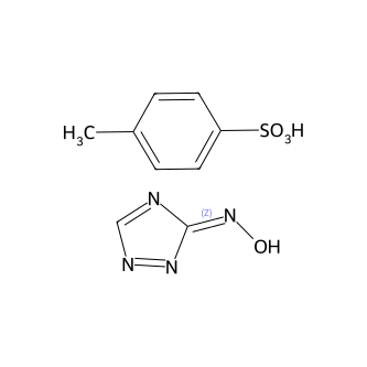 Cc1ccc(S(=O)(=O)O)cc1.O/N=C1/N=CN=N1